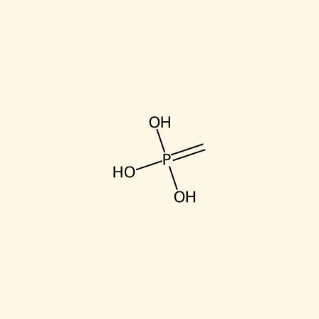 C=P(O)(O)O